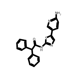 Nc1ccc(-c2cnc(NC(=O)C(c3ccccc3)c3ccccc3)s2)cn1